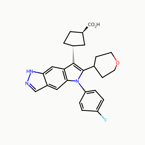 O=C(O)[C@@H]1CC[C@@H](c2c(C3CCOCC3)n(-c3ccc(F)cc3)c3cc4cn[nH]c4cc23)C1